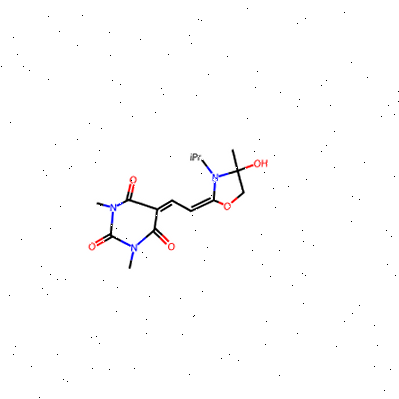 CC(C)N1/C(=C\C=C2C(=O)N(C)C(=O)N(C)C2=O)OCC1(C)O